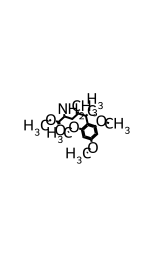 COC(=O)C(N)CC(C)C(C)c1c(OC)cc(OC)cc1OC